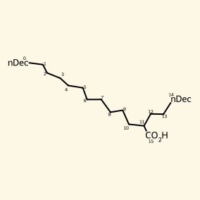 CCCCCCCCCCCCCCCCCCCCC(CCCCCCCCCCCC)C(=O)O